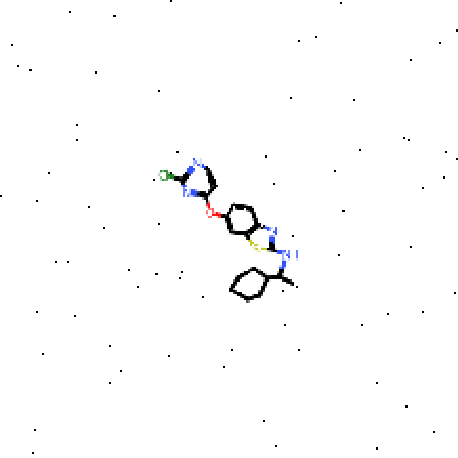 CC(Nc1nc2ccc(Oc3ccnc(Cl)n3)cc2s1)C1CCCCC1